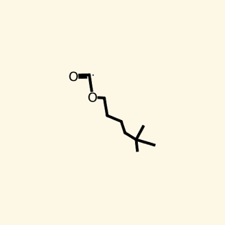 CC(C)(C)CCCCO[C]=O